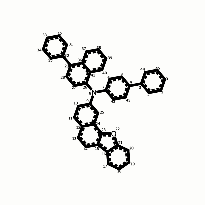 c1ccc(-c2ccc(N(c3ccc4ccc5c6ccccc6oc5c4c3)c3ccc(-c4ccccc4)c4ccccc34)cc2)cc1